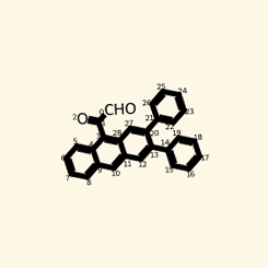 O=CC(=O)c1c2ccccc2cc2cc(-c3ccccc3)c(-c3ccccc3)cc12